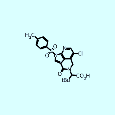 Cc1ccc(S(=O)(=O)n2cc3c4c(c(Cl)cnc42)CN(C(C(=O)O)C(C)(C)C)C3=O)cc1